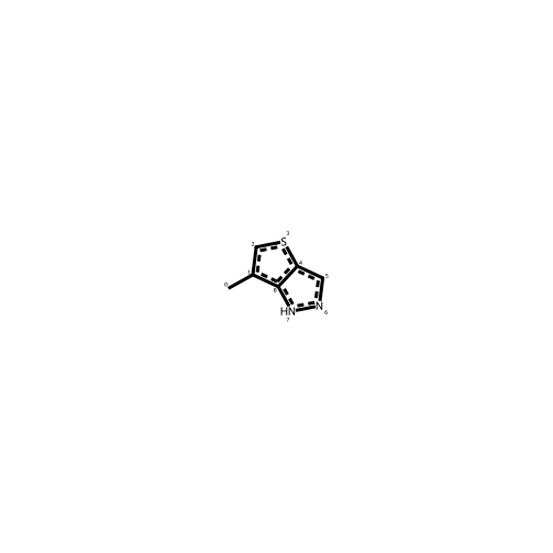 Cc1csc2cn[nH]c12